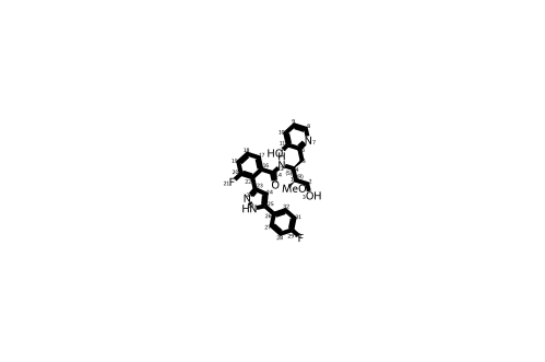 CO[C@@H](CO)[C@H](Cc1ncccc1O)NC(=O)c1cccc(F)c1-c1cc(-c2ccc(F)cc2)[nH]n1